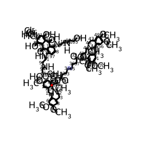 COc1cc2c(cc1OC)[C@@H](Cc1cc(OC)c(OC)c(OC)c1)[N+](C)(CCCOC(=O)CC/C=C/CCC(=O)OCCC[N+]1(C)CCc3cc(OC)c(OC)cc3[C@H]1Cc1cc(OC)c(OC)c(OC)c1)CC2.Cl.Cl.O=C1c2c(O)ccc(O)c2C(=O)c2c(NCCNCCO)ccc(NCCNCCO)c21.[Cl-].[Cl-]